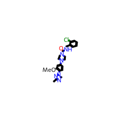 COc1cc(N2CCN(C(=O)NCc3ccccc3Cl)CC2)ccc1-n1cnc(C)n1